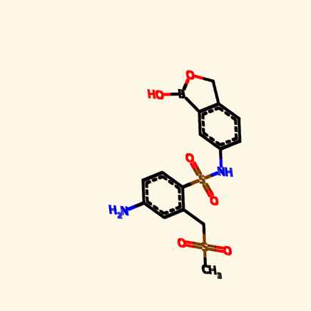 CS(=O)(=O)Cc1cc(N)ccc1S(=O)(=O)Nc1ccc2c(c1)B(O)OC2